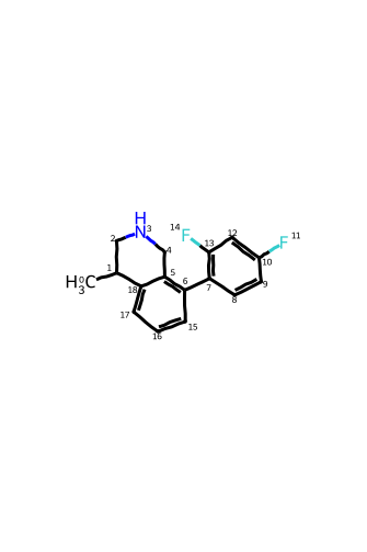 CC1CNCc2c(-c3ccc(F)cc3F)cccc21